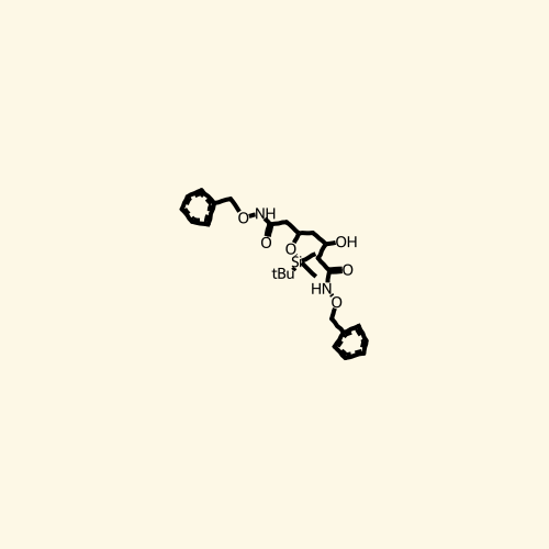 CC(C)(C)[Si](C)(C)OC(CC(=O)NOCc1ccccc1)CC(O)CC(=O)NOCc1ccccc1